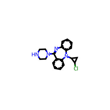 ClC1CC1N1c2ccccc2N=C(N2CCNCC2)c2ccccc21